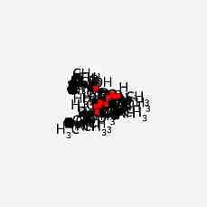 CC[C@H](C)[C@@H]([C@@H](CC(=O)N1CCC[C@H]1[C@H](OC)[C@@H](C)C(=O)N[C@H](C)[C@@H](O)c1ccccc1)OC)N(C)C(=O)[C@@H](NC(=O)[C@H](C(C)C)N(C)C(=O)OCc1ccc(NC(=O)[C@H](C)NC(=O)[C@@H](NC(=O)CCOCCOCCNC(=O)[C@H](CS(=O)(=O)O)NC(=O)CCn2c(CN(C)NC)cc3cccnc32)C(C)C)c(O[C@@H]2O[C@H](C(=O)O)[C@@H](O)[C@H](O)[C@H]2O)c1)C(C)C